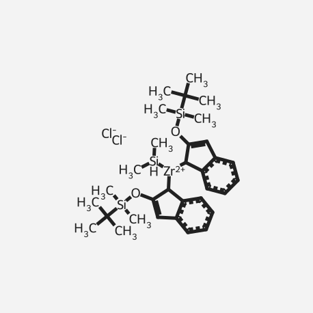 C[SiH](C)[Zr+2]([CH]1C(O[Si](C)(C)C(C)(C)C)=Cc2ccccc21)[CH]1C(O[Si](C)(C)C(C)(C)C)=Cc2ccccc21.[Cl-].[Cl-]